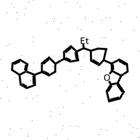 CCC(c1ccc(C2C=CC(C3=CC=CC4CC=CC=C34)=CC2)cc1)C1C=CC(C2=C3Oc4ccccc4C3CC=C2)CC1